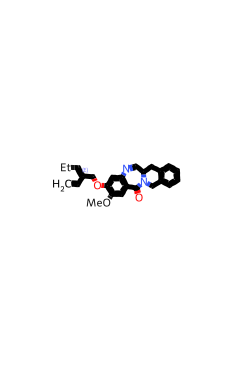 C=C/C(=C\CC)COc1cc2c(cc1OC)C(=O)N1Cc3ccccc3CC1C=N2